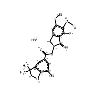 Br.CCOc1cc2c(c(F)c1OCC)C(=N)N(CC(=O)c1cc(CC)c3c(c1)C(C)(C)CO3)C2